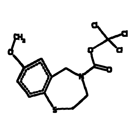 COc1ccc2c(c1)CN(C(=O)OC(Cl)(Cl)Cl)CCS2